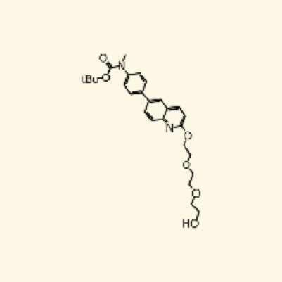 CN(C(=O)OC(C)(C)C)c1ccc(-c2ccc3nc(OCCOCCOCCO)ccc3c2)cc1